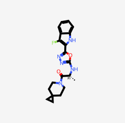 C[C@@H](Nc1nnc(-c2[nH]c3ccccc3c2F)o1)C(=O)N1CCC2(CC1)CC2